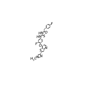 Cn1cnc(-c2cc3nccc(Oc4ccc(NC(=S)NC(=O)Cc5ccc(F)cc5)cc4F)c3s2)c1